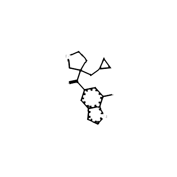 O=C(c1cc(F)c2[nH]ccc2c1)C1(CC2CC2)CCNC1